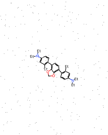 CCc1cc(N(CC)CC)ccc1-c1[c]cc(-c2ccc(N(CC)CC)cc2CC)c2c1OCO2